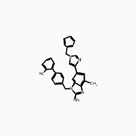 CCCc1nc2c(C)cc(-c3cn(Cc4ccccc4)cn3)cc2n1Cc1ccc(-c2ccccc2C#N)cc1